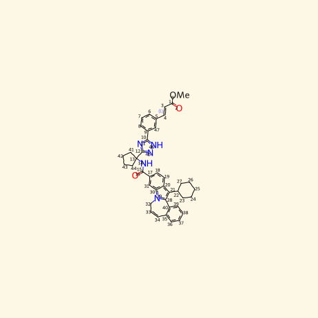 COC(=O)/C=C/c1cccc(-c2nc(C3(NC(=O)c4ccc5c(C6CCCCC6)c6n(c5c4)CC=Cc4ccccc4-6)CCCC3)n[nH]2)c1